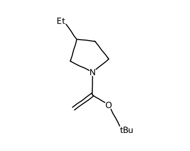 C=C(OC(C)(C)C)N1CCC(CC)C1